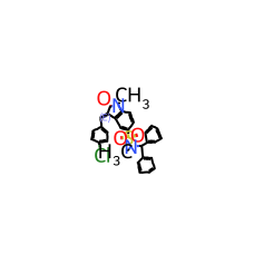 CN1C(=O)/C(=C/c2ccc(Cl)cc2)c2cc(S(=O)(=O)N(C)C(c3ccccc3)c3ccccc3)ccc21